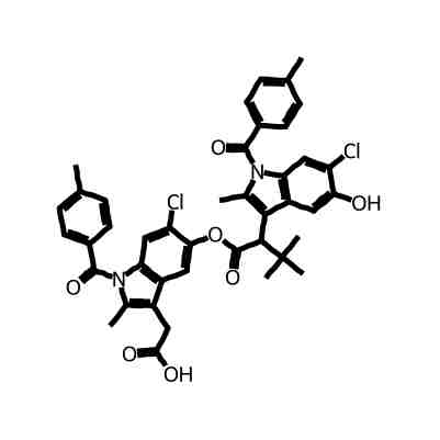 Cc1ccc(C(=O)n2c(C)c(CC(=O)O)c3cc(OC(=O)C(c4c(C)n(C(=O)c5ccc(C)cc5)c5cc(Cl)c(O)cc45)C(C)(C)C)c(Cl)cc32)cc1